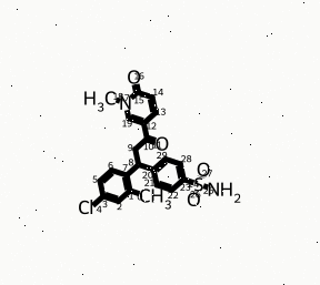 Cc1cc(Cl)ccc1C(CC(=O)c1ccc(=O)n(C)c1)c1ccc(S(N)(=O)=O)cc1